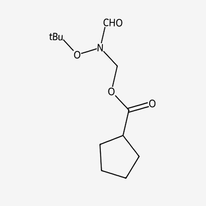 CC(C)(C)ON(C=O)COC(=O)C1CCCC1